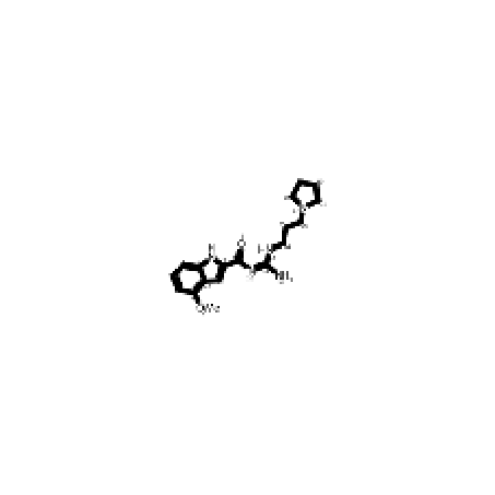 COc1cccc2[nH]c(C(=O)N=C(N)NCCCN3CCCC3)cc12